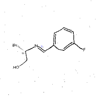 CC(C)[C@@H](CO)/N=C/c1cccc(F)c1